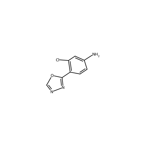 Nc1ccc(-c2nnco2)c(Cl)c1